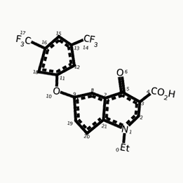 CCn1cc(C(=O)O)c(=O)c2cc(Oc3cc(C(F)(F)F)cc(C(F)(F)F)c3)ccc21